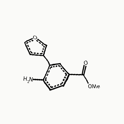 COC(=O)c1ccc(N)c(-c2ccoc2)c1